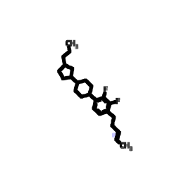 C/C=C/CCc1ccc(C2CCC(C3CCC(CCC)C3)CC2)c(F)c1F